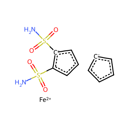 NS(=O)(=O)c1ccc[c-]1S(N)(=O)=O.[Fe+2].c1cc[cH-]c1